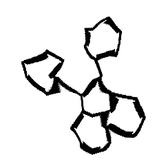 c1ccc(C2=C(c3ccccc3)c3cccc4cccc2c34)cc1